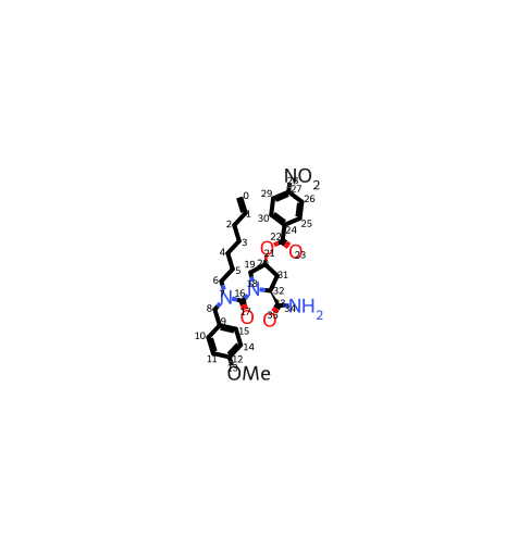 C=CCCCCCN(Cc1ccc(OC)cc1)C(=O)N1C[C@@H](OC(=O)c2ccc([N+](=O)[O-])cc2)C[C@H]1C(N)=O